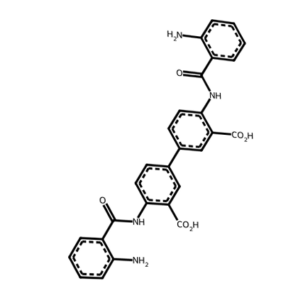 Nc1ccccc1C(=O)Nc1ccc(-c2ccc(NC(=O)c3ccccc3N)c(C(=O)O)c2)cc1C(=O)O